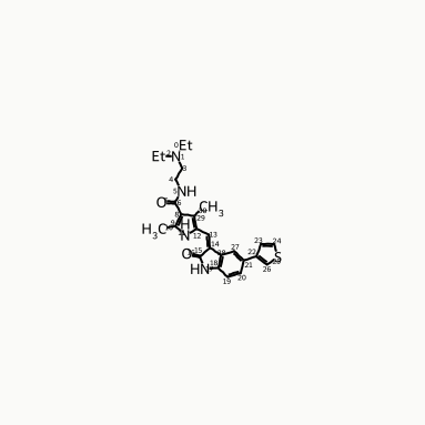 CCN(CC)CCNC(=O)c1c(C)[nH]c(/C=C2\C(=O)Nc3ccc(-c4ccsc4)cc32)c1C